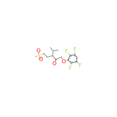 CC(C)C(CCS(C)(=O)=O)C(=O)COc1c(F)c(F)cc(F)c1F